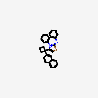 c1ccc(/N=c2/scc(C3(c4ccc5ccccc5c4)CCC3)n2-c2ccccc2)cc1